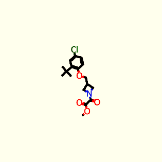 COC(=O)C(=O)N1CC(COc2ccc(Cl)cc2C(C)(C)C)C1